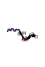 CC/C=C\C/C=C\C/C=C\C/C=C\C/C=C\C/C=C\CCC(=O)NCCCCCNC(=O)C(C)(C)Oc1ccc(C(=O)c2ccc(Cl)cc2)cc1